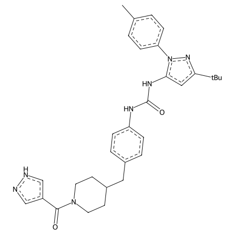 Cc1ccc(-n2nc(C(C)(C)C)cc2NC(=O)Nc2ccc(CC3CCN(C(=O)c4cn[nH]c4)CC3)cc2)cc1